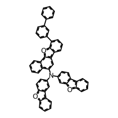 c1ccc(-c2cccc(-c3cccc4c3oc3c5ccccc5c(N(c5ccc6c(c5)oc5ccccc56)c5ccc6oc7ccccc7c6c5)cc43)c2)cc1